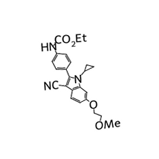 CCOC(=O)Nc1ccc(-c2c(C#N)c3ccc(OCCOC)cc3n2C2CC2)cc1